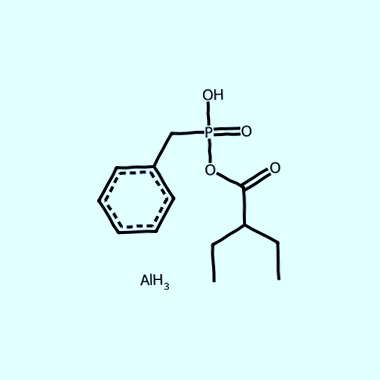 CCC(CC)C(=O)OP(=O)(O)Cc1ccccc1.[AlH3]